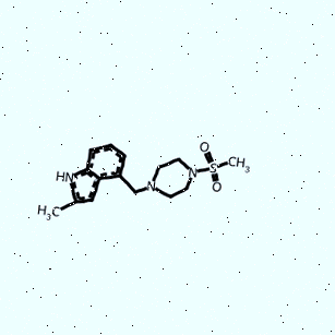 Cc1cc2c(CN3CCN(S(C)(=O)=O)CC3)cccc2[nH]1